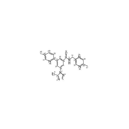 CCc1ncnn1-c1cc(C(=O)NCc2cnc(C)cn2)cc(-c2ccc(C)cn2)c1